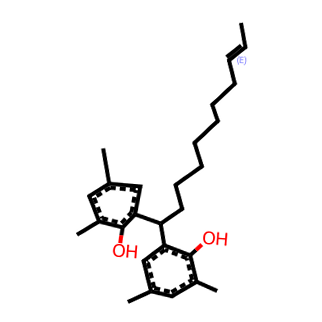 C/C=C/CCCCCCCC(c1cc(C)cc(C)c1O)c1cc(C)cc(C)c1O